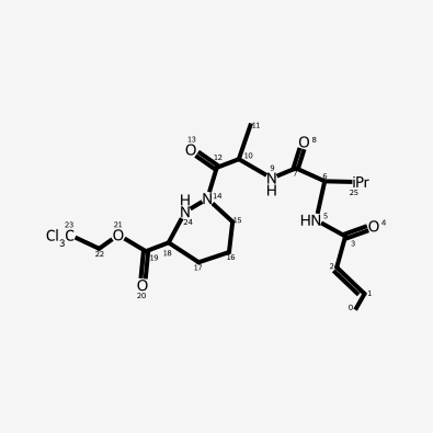 C/C=C/C(=O)NC(C(=O)NC(C)C(=O)N1CCCC(C(=O)OCC(Cl)(Cl)Cl)N1)C(C)C